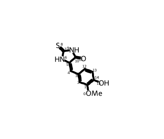 COc1cc(C=C2NC(=S)NC2=O)ccc1O